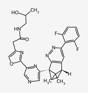 CC(O)CNC(=O)Cc1coc(-c2cncc([C@]34CC[C@@H](c5cc(-c6c(F)cccc6F)nnc53)C4(C)C)n2)n1